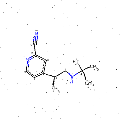 C[C@H](CNC(C)(C)C)c1ccnc(C#N)c1